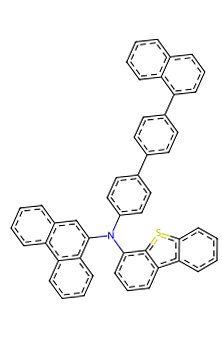 c1ccc2c(-c3ccc(-c4ccc(N(c5cc6ccccc6c6ccccc56)c5cccc6c5sc5ccccc56)cc4)cc3)cccc2c1